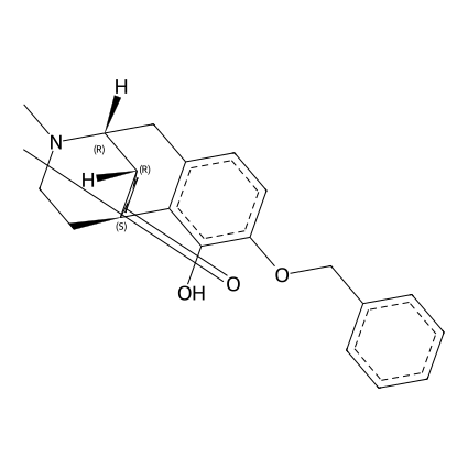 CN1CC[C@]23CC(=O)CC[C@H]2[C@H]1Cc1ccc(OCc2ccccc2)c(O)c13